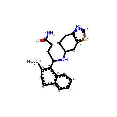 NC(=O)CCC(NC1CCc2ncsc2C1)c1c(C(=O)O)ccc2ccccc12